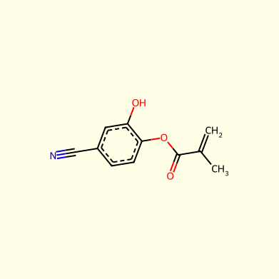 C=C(C)C(=O)Oc1ccc(C#N)cc1O